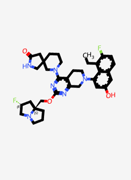 CCc1c(F)ccc2cc(O)cc(N3CCc4c(nc(OC[C@@]56CCCN5C[C@H](F)C6)nc4N4CCCC5(CNC(=O)C5)C4)C3)c12